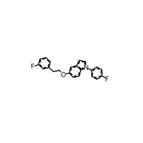 Fc1ccc(-n2c[c]c3cc(OCCc4cccc(F)c4)ccc32)cc1